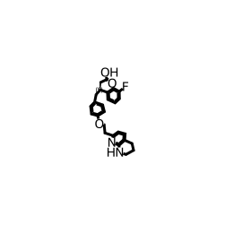 O=C(O)C[C@H](Cc1ccc(OCCc2ccc3c(n2)NCCC3)cc1)c1cccc(F)c1